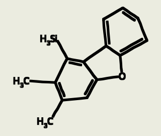 Cc1cc2oc3ccccc3c2c([SiH3])c1C